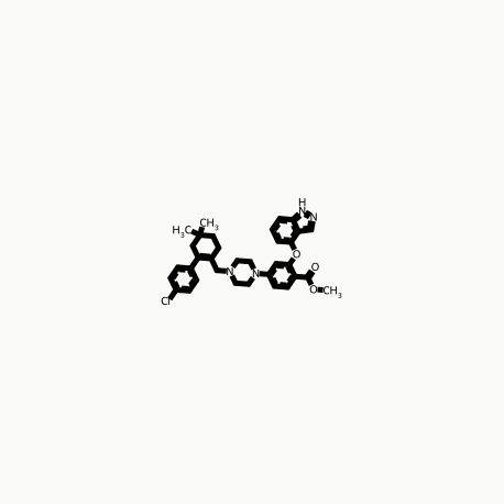 COC(=O)c1ccc(N2CCN(CC3=C(c4ccc(Cl)cc4)CC(C)(C)CC3)CC2)cc1Oc1cccc2[nH]ncc12